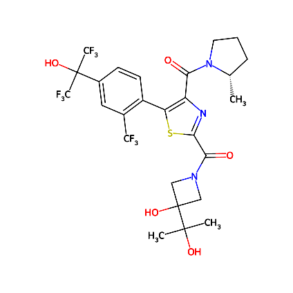 C[C@H]1CCCN1C(=O)c1nc(C(=O)N2CC(O)(C(C)(C)O)C2)sc1-c1ccc(C(O)(C(F)(F)F)C(F)(F)F)cc1C(F)(F)F